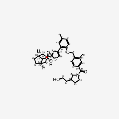 Cc1ccc(OCc2ccc(C(=O)N3CCC(CCO)C3)cc2C)c(-c2csc(N3C[C@H]4CC[C@@H](C3)C4C(=O)O)n2)c1